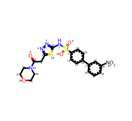 O=C(Cc1nnc(NS(=O)(=O)c2ccc(-c3cccc([N+](=O)[O-])c3)cc2)s1)N1CCOCC1